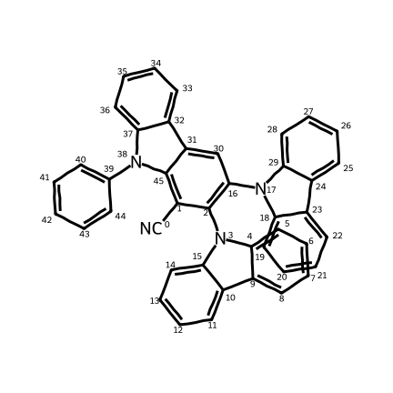 N#Cc1c(-n2c3ccccc3c3ccccc32)c(-n2c3ccccc3c3ccccc32)cc2c3ccccc3n(-c3ccccc3)c12